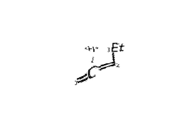 C=C=CCC.[H+]